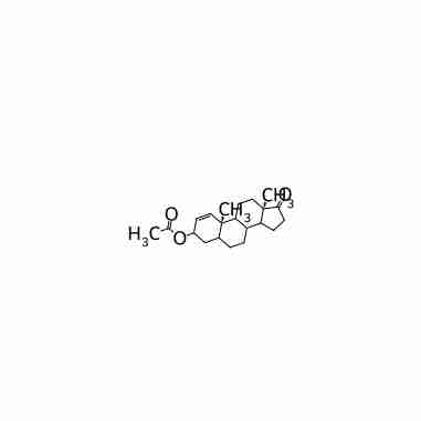 CC(=O)OC1C=C[C@@]2(C)C(CCC3C2CC[C@]2(C)C(=O)CCC32)C1